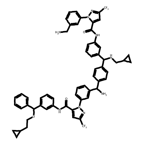 NCc1cccc(-n2nc(C(F)(F)F)cc2C(=O)Nc2cccc(C(NCC3CC3)c3ccc(C(N)c4cccc(-n5nc(C(F)(F)F)cc5C(=O)Nc5cccc(C(OCCC6CC6)c6ccccc6)c5)c4)cc3)c2)c1